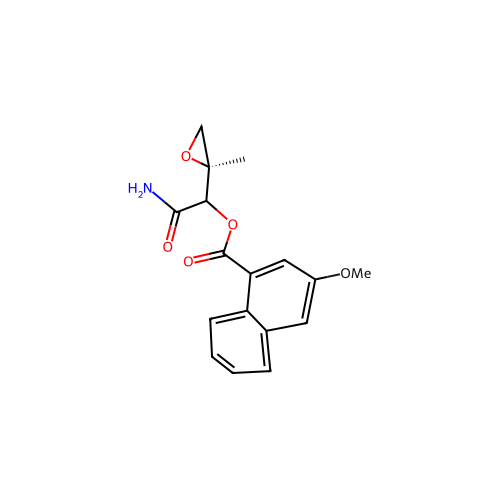 COc1cc(C(=O)OC(C(N)=O)[C@]2(C)CO2)c2ccccc2c1